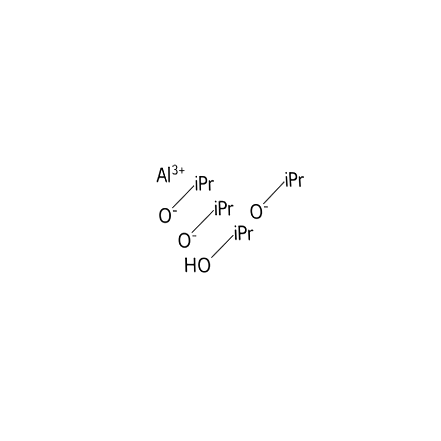 CC(C)O.CC(C)[O-].CC(C)[O-].CC(C)[O-].[Al+3]